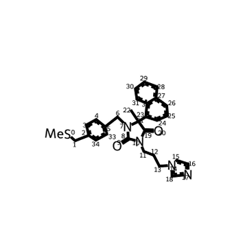 CSCc1ccc(CN2C(=O)N(CCCn3ccnc3)C(=O)C2(C)c2cccc3ccccc23)cc1